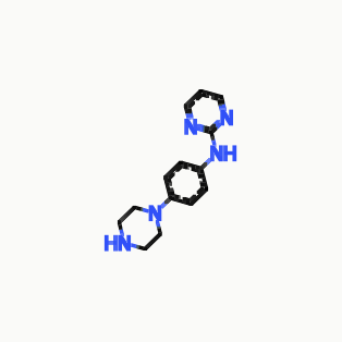 c1cnc(Nc2ccc(N3CCNCC3)cc2)nc1